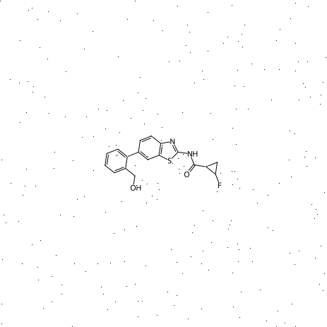 O=C(Nc1nc2ccc(-c3ccccc3CO)cc2s1)C1CC1F